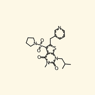 CC(C)Cn1c(=O)n(C)c(=O)c2c(S(=O)(=O)N3CCCC3)c(Cc3cccnc3)sc21